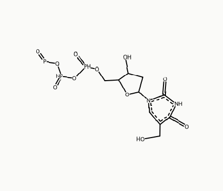 O=PO[PH](=O)O[PH](=O)OCC1OC(n2cc(CO)c(=O)[nH]c2=O)CC1O